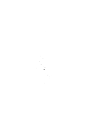 CCCCCCCCOC(C)C(OCCCCCCCC)(OCCCCCCCC)SSC(OCCCCCCCC)(OCCCCCCCC)C(C)OCCCCCCCC